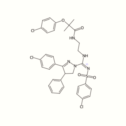 CC(C)(Oc1ccc(Cl)cc1)C(=O)NCCN/C(=N/S(=O)(=O)c1ccc(Cl)cc1)N1CC(c2ccccc2)C(c2ccc(Cl)cc2)=N1